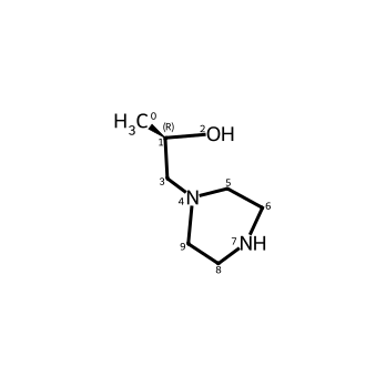 C[C@@H](O)CN1CCNCC1